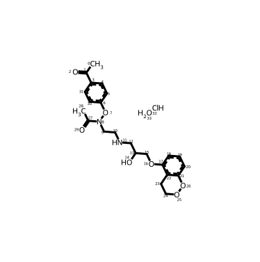 CC(=O)c1ccc(ON(CCNCC(O)COc2cccc3c2CCOO3)C(C)=O)cc1.Cl.O